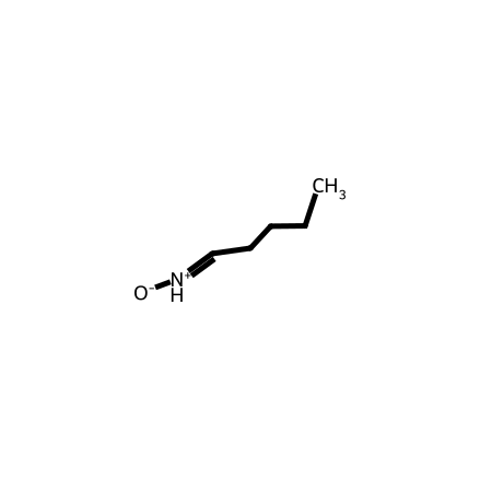 CCCCC=[NH+][O-]